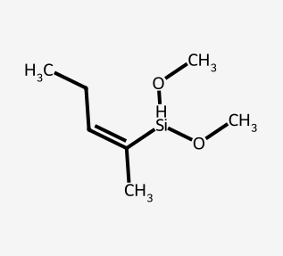 CCC=C(C)[SiH](OC)OC